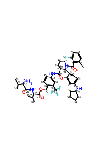 Cc1cccc(F)c1C(=O)N1CCC[C@H](C(=O)Nc2ccc(COC(=O)C(NC(=O)C(N)C(C)C)C(C)C)c(C(F)(F)F)c2)[C@@H]1c1ccc(NC2CCCC2)cc1